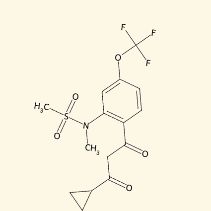 CN(c1cc(OC(F)(F)F)ccc1C(=O)CC(=O)C1CC1)S(C)(=O)=O